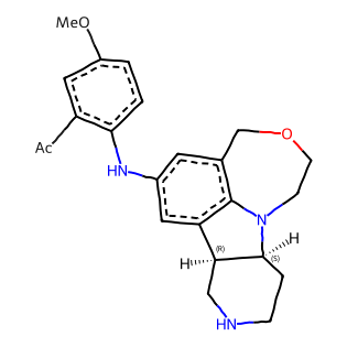 COc1ccc(Nc2cc3c4c(c2)[C@@H]2CNCC[C@@H]2N4CCOC3)c(C(C)=O)c1